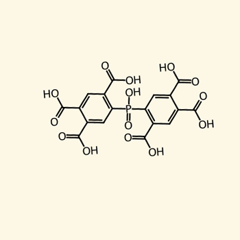 O=C(O)c1cc(C(=O)O)c(P(=O)(O)c2cc(C(=O)O)c(C(=O)O)cc2C(=O)O)cc1C(=O)O